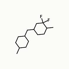 CC1CCC(CC2CCC(C)C(F)(F)C2)CC1